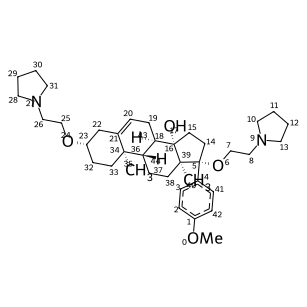 COc1ccc([C@]2(OCCN3CCCC3)CC[C@]3(O)[C@@H]4CC=C5C[C@@H](OCCN6CCCC6)CC[C@]5(C)[C@H]4CC[C@]23C)cc1